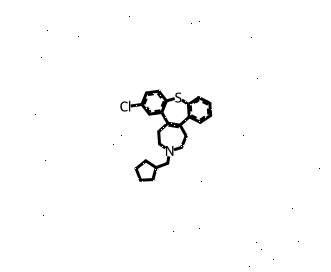 Clc1ccc2c(c1)C1=C(CCN(CC3CCCC3)CC1)c1ccccc1S2